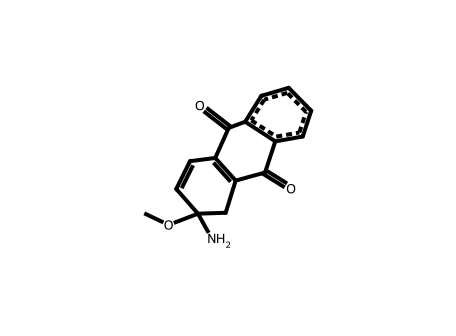 COC1(N)C=CC2=C(C1)C(=O)c1ccccc1C2=O